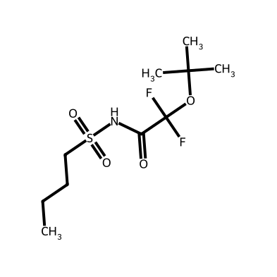 CCCCS(=O)(=O)NC(=O)C(F)(F)OC(C)(C)C